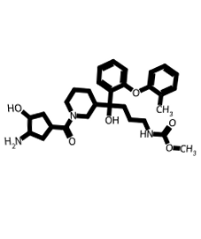 COC(=O)NCCCC(O)(c1ccccc1Oc1ccccc1C)C1CCCN(C(=O)C2CC(N)C(O)C2)C1